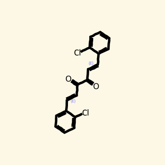 O=C(/C=C/c1ccccc1Cl)C(=O)/C=C/c1ccccc1Cl